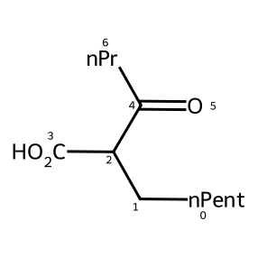 CCCCCCC(C(=O)O)C(=O)CCC